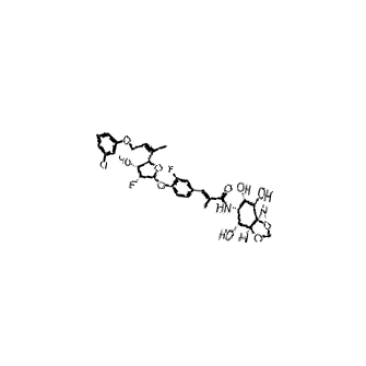 C/C(=C/COc1cccc(Cl)c1)[C@H]1O[C@@H](Oc2ccc(/C=C(\C)C(=O)N[C@@H]3[C@H](O)[C@@H](O)[C@H]4OCO[C@H]4[C@@H]3O)cc2F)[C@H](F)[C@@H]1O